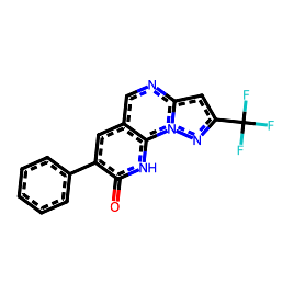 O=c1[nH]c2c(cnc3cc(C(F)(F)F)nn32)cc1-c1ccccc1